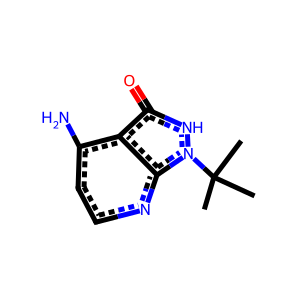 CC(C)(C)n1[nH]c(=O)c2c(N)ccnc21